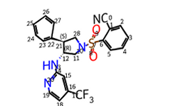 N#Cc1ccccc1S(=O)(=O)N1C[C@H](Nc2cc(C(F)(F)F)ccn2)[C@@H](c2ccccc2)C1